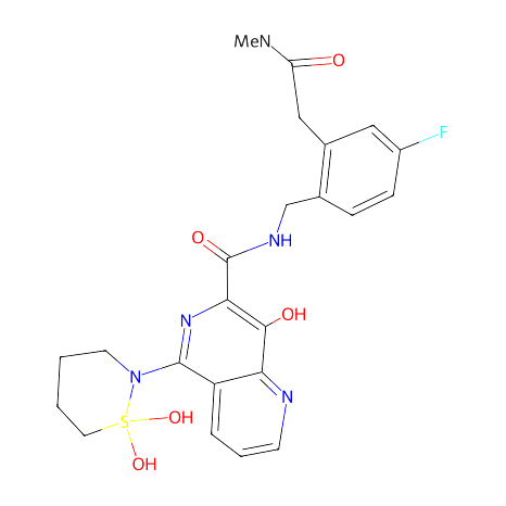 CNC(=O)Cc1cc(F)ccc1CNC(=O)c1nc(N2CCCCS2(O)O)c2cccnc2c1O